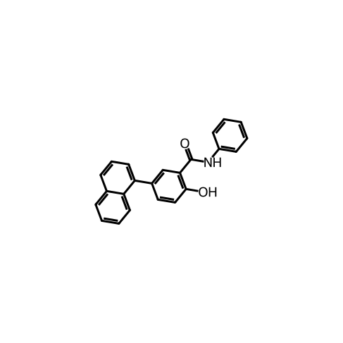 O=C(Nc1ccccc1)c1cc(-c2cccc3ccccc23)ccc1O